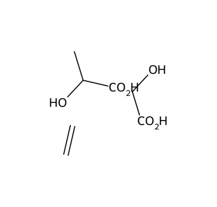 C=C.CC(O)C(=O)O.O=C(O)CO